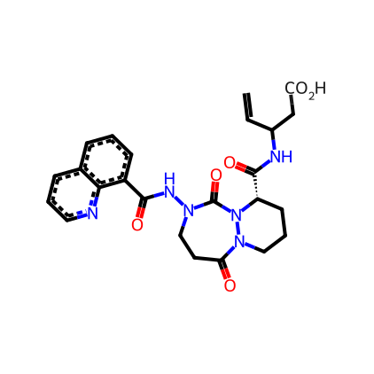 C=CC(CC(=O)O)NC(=O)[C@@H]1CCCN2C(=O)CCN(NC(=O)c3cccc4cccnc34)C(=O)N12